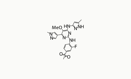 COc1c(Nc2cc(C)[nH]n2)nc(Nc2ccc(S(C)(=O)=O)cc2F)nc1-c1cnn(C)c1